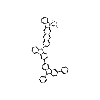 C[Si]1(C)c2ccccc2-c2cc3cc4cc(-n5c6ccccc6c6cc(-c7ccc8c(c7)c7cc(-c9ccccc9)ccc7n8-c7ccccc7)ccc65)ccc4cc3cc21